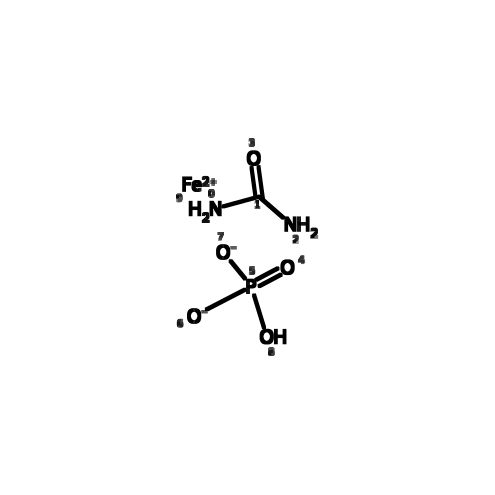 NC(N)=O.O=P([O-])([O-])O.[Fe+2]